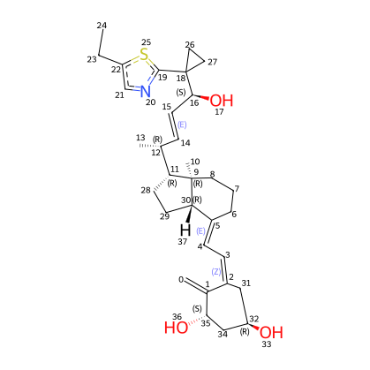 C=C1/C(=C\C=C2/CCC[C@]3(C)[C@@H]([C@H](C)/C=C/[C@H](O)C4(c5ncc(CC)s5)CC4)CC[C@@H]23)C[C@@H](O)C[C@@H]1O